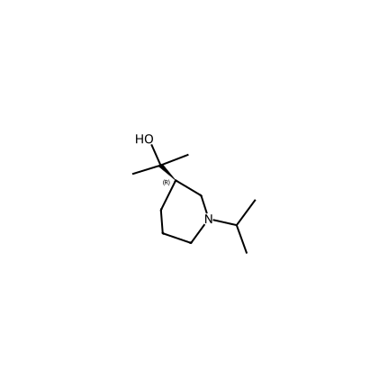 CC(C)N1CCC[C@@H](C(C)(C)O)C1